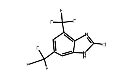 FC(F)(F)c1cc(C(F)(F)F)c2nc(Cl)[nH]c2c1